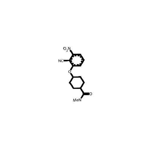 CNC(=O)C1CCC(Oc2cccc([N+](=O)[O-])c2C#N)CC1